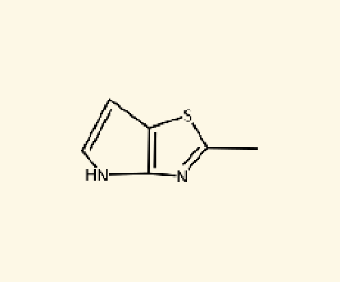 Cc1nc2[nH]ccc2s1